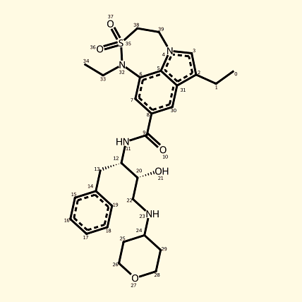 CCc1cn2c3c(cc(C(=O)N[C@@H](Cc4ccccc4)[C@H](O)CNC4CCOCC4)cc13)N(CC)S(=O)(=O)CC2